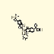 O=C(O)c1ccc2c(c1)nc(Nc1nc3ccc(OC(F)(F)F)cc3o1)n2C1CCOCC1